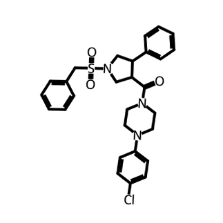 O=C(C1CN(S(=O)(=O)Cc2ccccc2)CC1c1ccccc1)N1CCN(c2ccc(Cl)cc2)CC1